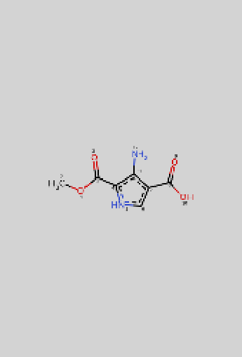 COC(=O)c1[nH]cc(C(=O)O)c1N